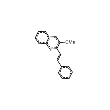 COc1cc2ccccc2nc1/C=C/c1ccccc1